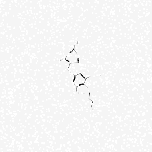 COc1cc(Cc2cnc(N)nc2N)cc(OC)c1OCCO